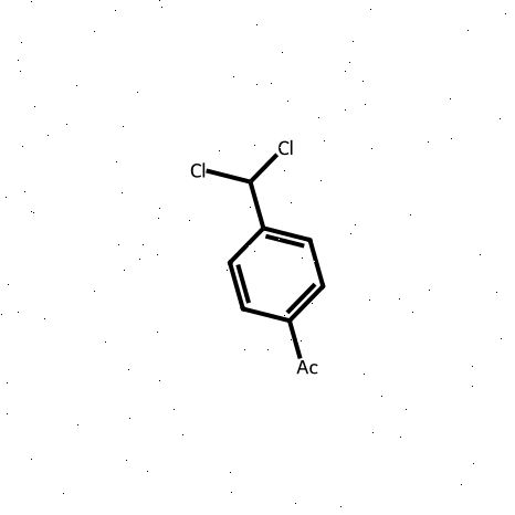 CC(=O)c1ccc(C(Cl)Cl)cc1